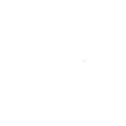 [CH2]Oc1c[c]ccc1